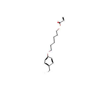 C=CC(=O)OCCCCCCOc1ccc(COC)cc1